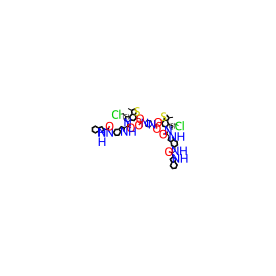 Cc1csc2c(OC(=O)N3CCN(C(=O)Oc4cc5c(c6c(C)csc46)[C@H](CCl)CN5C(=O)c4cc5cc(NC(=O)c6cc7ccccc7[nH]6)ccc5[nH]4)CC3)cc3c(c12)[C@H](CCl)CN3C(=O)c1cc2cc(NC(=O)c3cc4ccccc4[nH]3)ccc2[nH]1